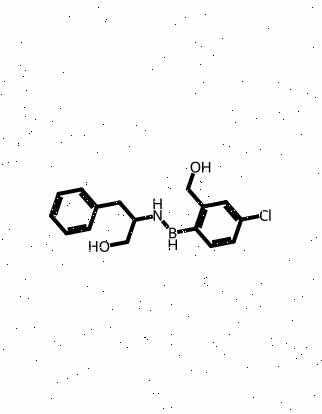 OCc1cc(Cl)ccc1BNC(CO)Cc1ccccc1